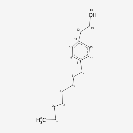 CCCCCCCCc1ccc(CCO)cc1